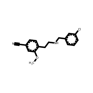 COc1cc(C#N)ccc1CCNCc1cccc(Cl)c1